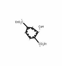 CCOC(=O)c1ccc(C(=O)OCC)cc1.[CsH]